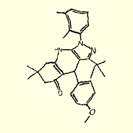 COc1ccc(C2C3=C(CC(C)(C)CC3=O)Nc3c2c(C(C)(C)C)nn3-c2cccc(C)c2C)cc1